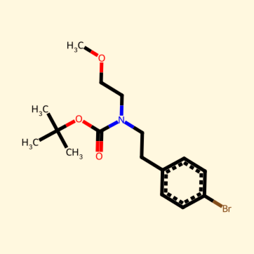 COCCN(CCc1ccc(Br)cc1)C(=O)OC(C)(C)C